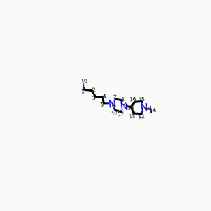 ICCCCCN1CCN(C2CCN(I)CC2)CC1